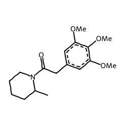 COc1cc(CC(=O)N2CCCCC2C)cc(OC)c1OC